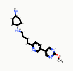 COc1ncc(-c2ccc(CCCCN[C@H]3CC[C@H](N)CC3)nc2)cn1